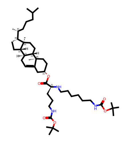 CC(C)CCC[C@@H](C)[C@H]1CC[C@H]2[C@@H]3CC=C4C[C@@H](OC(=O)[C@H](CCCNC(=O)OC(C)(C)C)NCCCCCCNC(=O)OC(C)(C)C)CC[C@]4(C)[C@H]3CC[C@]12C